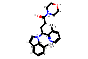 Cc1cccnc1C(CCC(=O)N1CCOCC1)n1ccc2cccc(C)c21